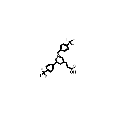 O=C(O)CCC1CC(c2ccc(C(F)(F)F)cc2)CN(Cc2ccc(C(F)(F)F)cc2)C1